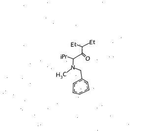 CCC(CC)C(=O)C(C(C)C)N(C)Cc1ccccc1